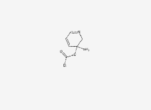 CCC(=O)OC1(N)C=CC=NC1